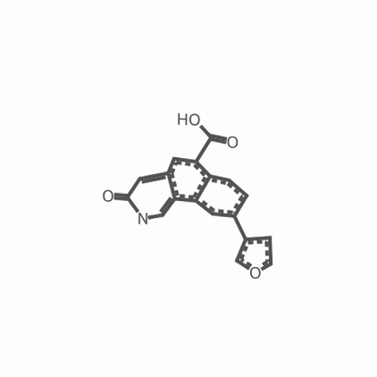 O=C1C=c2cc(C(=O)O)c3ccc(-c4ccoc4)cc3c2=C[N]1